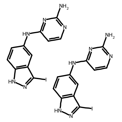 Nc1nccc(Nc2ccc3[nH]nc(I)c3c2)n1.Nc1nccc(Nc2ccc3[nH]nc(I)c3c2)n1